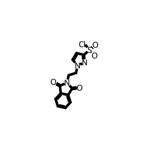 O=C1c2ccccc2C(=O)N1CCn1ccc(S(=O)(=O)Cl)n1